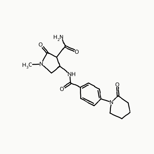 CN1CC(NC(=O)c2ccc(N3CCCCC3=O)cc2)C(C(N)=O)C1=O